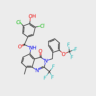 Cc1ccc(NC(=O)c2cc(Cl)c(O)c(Cl)c2)c2c(=O)n(Cc3ccccc3OC(F)(F)F)c(C(F)(F)F)nc12